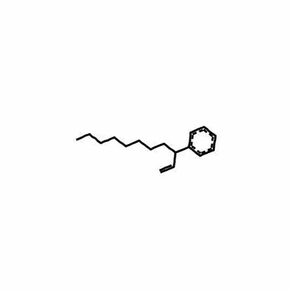 C=CC(CCCCCCCC)c1ccccc1